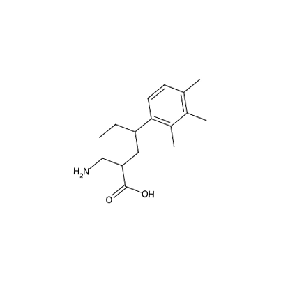 CCC(CC(CN)C(=O)O)c1ccc(C)c(C)c1C